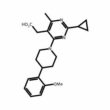 COc1ccccc1C1CCN(c2nc(C3CC3)nc(C)c2CC(=O)O)CC1